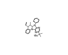 C=CC1c2ccccc2N2c3nc(C(C)(C)C(C)(C)C)cnc3N(c3ccccc3)C2C1C